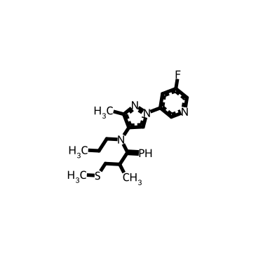 CCCN(C(=P)C(C)CSC)c1cn(-c2cncc(F)c2)nc1C